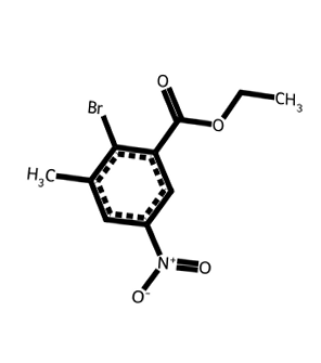 CCOC(=O)c1cc([N+](=O)[O-])cc(C)c1Br